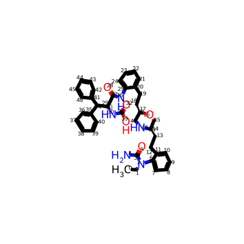 CCN(C(N)=O)c1ccccc1CC[C@@H]1CO[C@H](CCc2ccccc2NC(=O)[C@@H](NC(=O)O)C(c2ccccc2)c2ccccc2)CN1